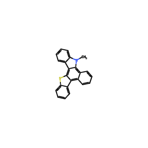 Cn1c2ccccc2c2c3sc4ccccc4c3c3ccccc3c21